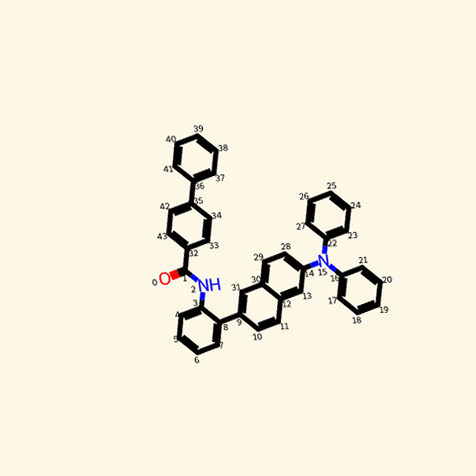 O=C(Nc1ccccc1-c1ccc2cc(N(c3ccccc3)c3ccccc3)ccc2c1)c1ccc(-c2ccccc2)cc1